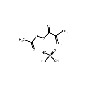 C=C(C)C(=O)OOC(C)=O.O=P(O)(O)O